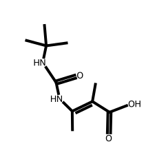 CC(NC(=O)NC(C)(C)C)=C(C)C(=O)O